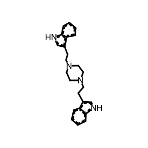 c1ccc2c(CCN3CCN(CCc4c[nH]c5ccccc45)CC3)c[nH]c2c1